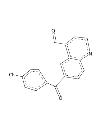 O=Cc1ccnc2ccc(C(=O)c3ccc(Cl)cc3)cc12